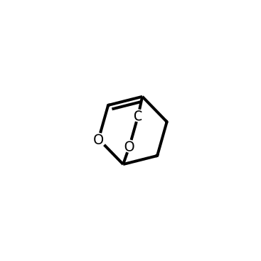 C1=C2CCC(O1)OC2